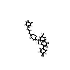 O=c1cc(NC2CCN(CC=Cc3ccccc3)CC2)c2cc(-c3ccc(Cl)cc3)ccc2o1